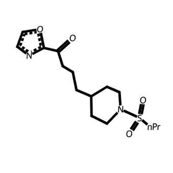 CCCS(=O)(=O)N1CCC(CCCC(=O)c2ncco2)CC1